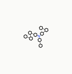 c1ccc(-c2ccc(N(c3ccc(-c4ccccc4-c4ccccc4)cc3)c3ccc(-c4ccccc4-c4ccccc4-c4ccccc4)cc3)cc2)cc1